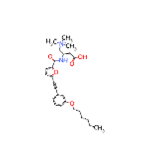 CCCCCCOc1cccc(C#Cc2ccc(C(=O)N[C@H](CC(=O)O)C[N+](C)(C)C)o2)c1